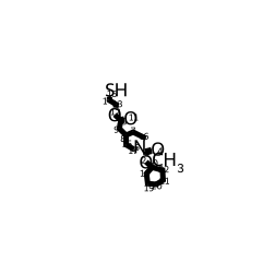 CC1(OC(=O)N2CCC(CC(=O)OCCS)CC2)CCCCC1